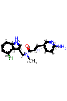 CN(Cc1c[nH]c2cccc(Cl)c12)C(=O)/C=C/c1ccc(N)nc1